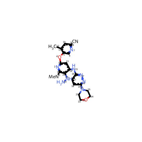 CNc1nc(Oc2cnc(C#N)cc2C)cc(Nc2ccc(N3CCOCC3)nn2)c1NN